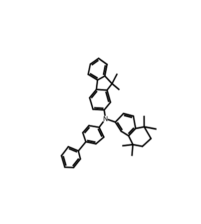 CC1(C)CCC(C)(C)c2cc(N(c3ccc(-c4ccccc4)cc3)c3ccc4c(c3)C(C)(C)c3ccccc3-4)ccc21